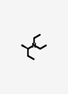 CC[C@@H](C)N(CC)CC